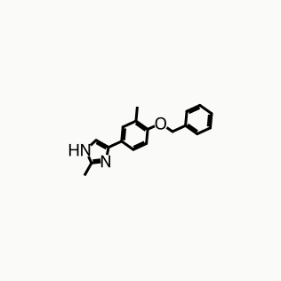 Cc1nc(-c2ccc(OCc3ccccc3)c(C)c2)c[nH]1